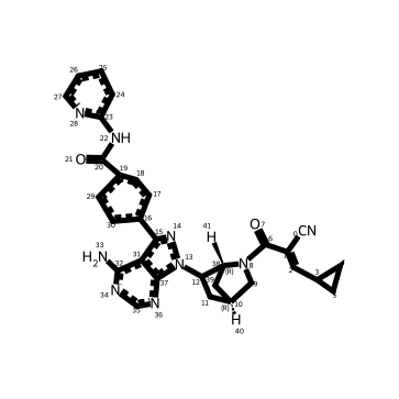 N#CC(=CC1CC1)C(=O)N1C[C@H]2CC(n3nc(-c4ccc(C(=O)Nc5ccccn5)cc4)c4c(N)ncnc43)[C@H]1C2